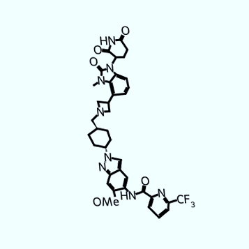 COc1cc2nn([C@H]3CC[C@H](CN4CC(c5cccc6c5n(C)c(=O)n6C5CCC(=O)NC5=O)C4)CC3)cc2cc1NC(=O)c1cccc(C(F)(F)F)n1